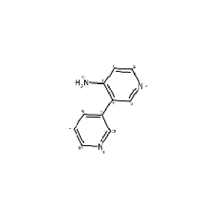 Nc1ccncc1-c1cccnc1